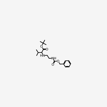 CC(C)C(NCCNC(=O)OCc1ccccc1)C(=O)OC(C)(C)C